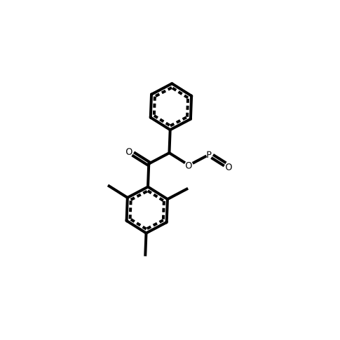 Cc1cc(C)c(C(=O)C(OP=O)c2ccccc2)c(C)c1